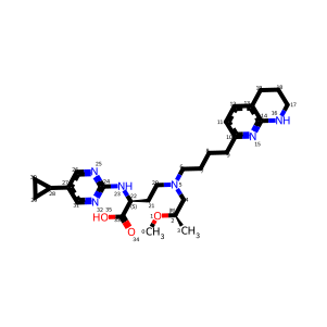 CO[C@H](C)CN(CCCCc1ccc2c(n1)NCCC2)CC[C@H](Nc1ncc(C2CC2)cn1)C(=O)O